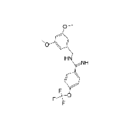 COc1cc(CNC(=N)c2ccc(OC(F)(F)F)cc2)cc(OC)c1